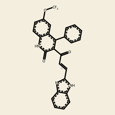 O=C(/C=C/c1nc2ccccc2[nH]1)c1c(-c2ccccc2)c2cc(OC(F)(F)F)ccc2[nH]c1=O